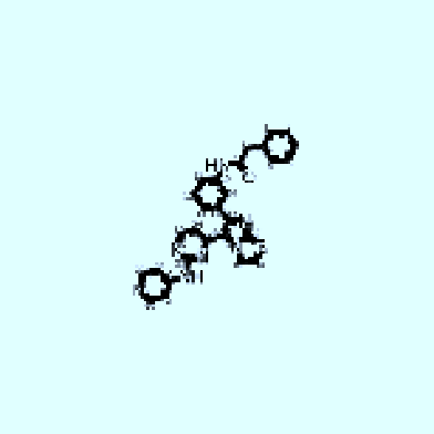 O=C(Cc1ccccc1)Nc1cccc(-c2nc3sccn3c2-c2ccnc(Nc3ccncc3)n2)c1